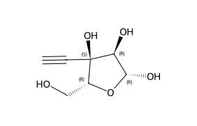 C#C[C@@]1(O)[C@@H](CO)O[C@@H](O)[C@@H]1O